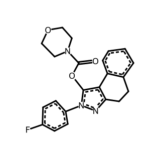 O=C(Oc1c2c(nn1-c1ccc(F)cc1)CCc1ccccc1-2)N1CCOCC1